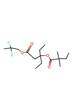 CCC(CC)(CC(=O)OCC(C)(F)F)OC(=O)C(C)(C)CC